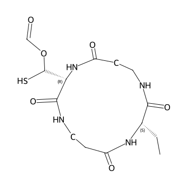 CC[C@@H]1NC(=O)CCNC(=O)[C@H](C(S)OC=O)NC(=O)CCNC1=O